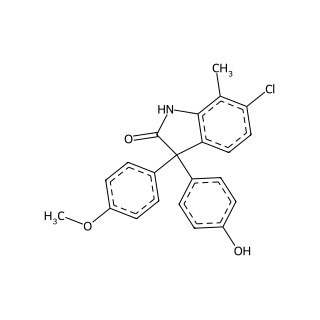 COc1ccc(C2(c3ccc(O)cc3)C(=O)Nc3c2ccc(Cl)c3C)cc1